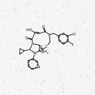 C/C1=C2/C(=O)N(c3cccnc3)C(C3CC3)N2C(=O)/C(O)=C/C(=O)N(Cc2ccc(F)c(Cl)c2)CC1